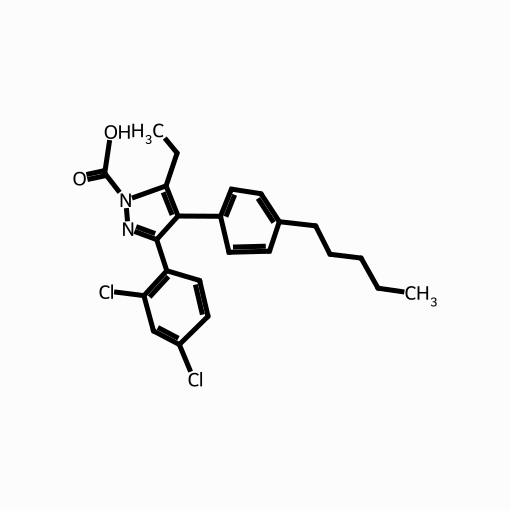 CCCCCc1ccc(-c2c(-c3ccc(Cl)cc3Cl)nn(C(=O)O)c2CC)cc1